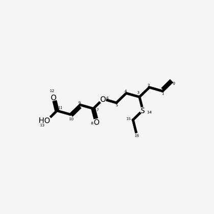 C=CCC(CCOC(=O)C=CC(=O)O)SCC